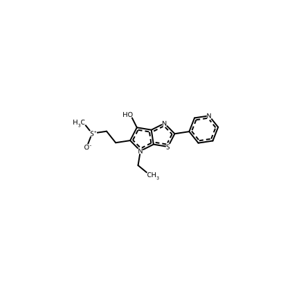 CCn1c(CC[S+](C)[O-])c(O)c2nc(-c3cccnc3)sc21